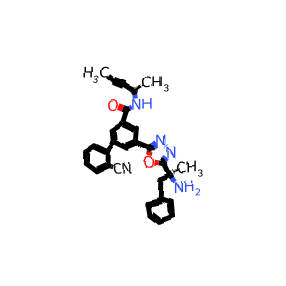 CC#C[C@@H](C)NC(=O)c1cc(-c2nnc([C@@](C)(N)Cc3ccccc3)o2)cc(-c2ccccc2C#N)c1